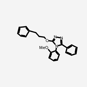 COc1ccccc1-n1c(OCCCc2ccccc2)nnc1-c1ccccc1